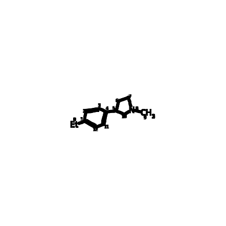 CCc1ccc(C2CCN(C)C2)cc1